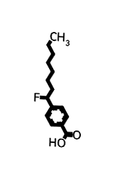 CCCCCCCC(F)c1ccc(C(=O)O)cc1